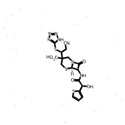 N#CCC(Sc1nnn[nH]1)C1(C(=O)O)CS[C@@H]2C(NC(=O)C(O)c3cccs3)C(=O)N2C1